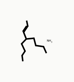 CC=CC(CCCC)CCCC.N